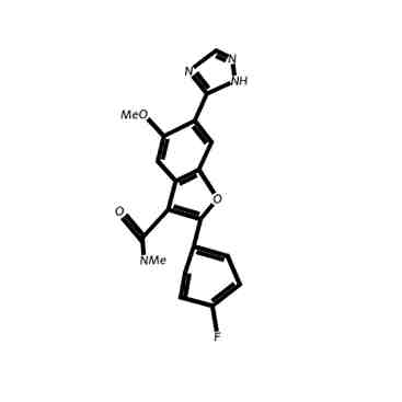 CNC(=O)c1c(-c2ccc(F)cc2)oc2cc(-c3ncn[nH]3)c(OC)cc12